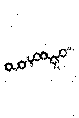 CN1CCN(c2cc(-c3ccc4c(c3)CN(C(=O)Nc3ccc(Oc5ccccc5)cc3)CC4)nc(N)n2)CC1